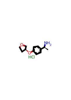 C[C@H](N)c1ccc(O[C@H]2CCOC2)cc1.Cl